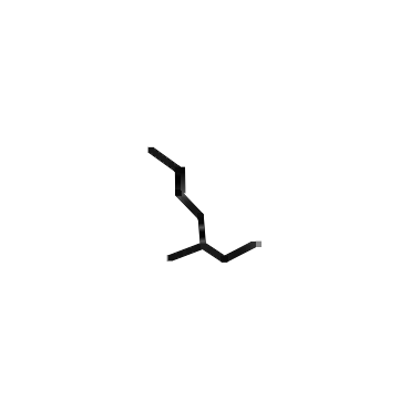 [CH2]CC(C)CC=CC